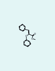 COC(=O)C(=Cc1ccccc1)Oc1ccccc1